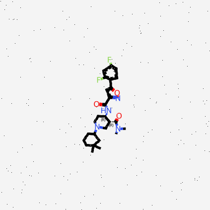 CN(C)C(=O)[C@@H]1CN(C2CCCC(C)(C)C2)CC[C@H]1NC(=O)c1cc(-c2ccc(F)cc2F)on1